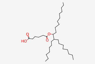 CCCCCCCCCCC(OC(=O)CCCCC(=O)O)C(CCCCCCC)CCCCCCCC